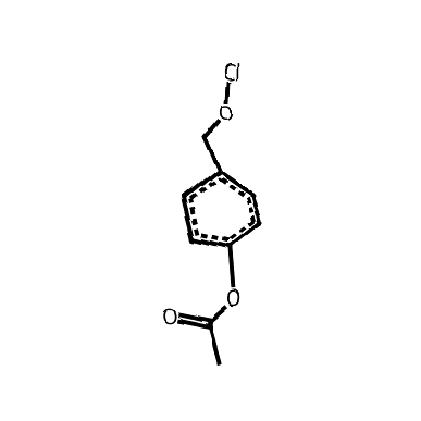 CC(=O)Oc1ccc(COCl)cc1